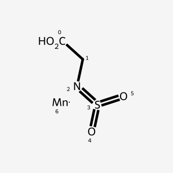 O=C(O)CN=S(=O)=O.[Mn]